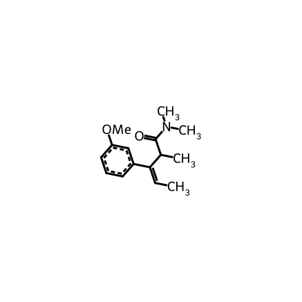 CC=C(c1cccc(OC)c1)C(C)C(=O)N(C)C